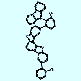 N#Cc1ccccc1-c1ccc2oc3c(ccc4oc5ccc(-c6cccc(C#N)c6-n6c7ccccc7c7ccccc76)cc5c43)c2c1